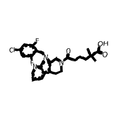 CC(C)(CCCC(=O)N1CCc2c(n(Cc3c(F)cc(Cl)cc3F)c3ncccc23)C1)C(=O)O